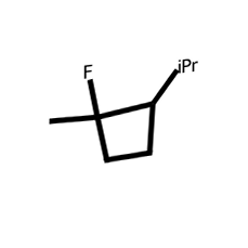 CC(C)C1CCC1(C)F